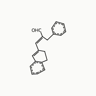 O=CC(=CC1=Cc2ccccc2CC1)Cc1ccccc1